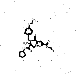 CCOC(=O)c1cc2n(n1)CC(C)(C(=O)NC1CCCC1)N(Cc1ccc(OCC)cc1)C2=O